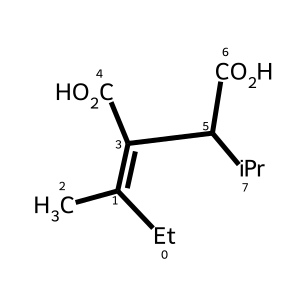 CC/C(C)=C(/C(=O)O)C(C(=O)O)C(C)C